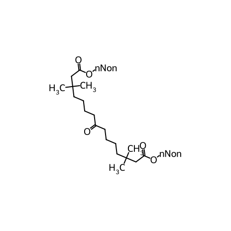 CCCCCCCCCOC(=O)CC(C)(C)CCCCC(=O)CCCCC(C)(C)CC(=O)OCCCCCCCCC